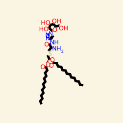 CCCCCCCCCCCCCC(=O)OC[C@H](CSC[C@@H](N)C(=O)Nc1cn([C@H]2OC(CO)C(O)C(O)C2O)nn1)OC(=O)CCCCCCCCCCCCC